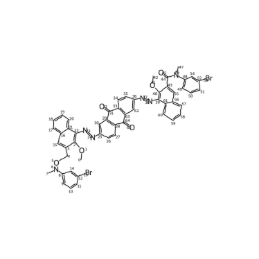 COc1c(CON(C)c2cccc(Br)c2)cc2ccccc2c1N=Nc1ccc2c(c1)C(=O)c1ccc(N=Nc3c(OC)c(C(=O)N(C)c4cccc(Br)c4)cc4ccccc34)cc1C2=O